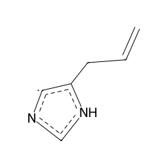 C=CCc1[c]nc[nH]1